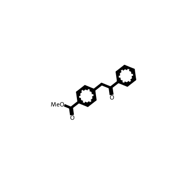 COC(=O)c1ccc(CC(=O)c2ccccc2)cc1